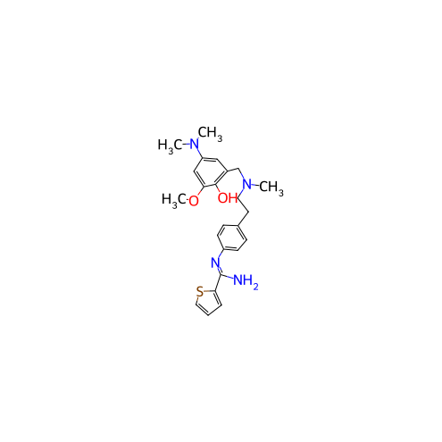 COc1cc(N(C)C)cc(CN(C)CCc2ccc(/N=C(\N)c3cccs3)cc2)c1O